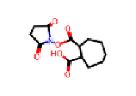 O=C(O)C1CCCCCC1C(=O)ON1C(=O)CCC1=O